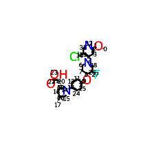 COc1cc(N2CCC(Oc3ccc(N4C[C@H](C)C[C@@H]4CC(=O)O)cc3)C(F)C2)c(Cl)cn1